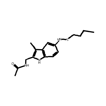 CCCCSNc1ccc2[nH]c(CNC(C)=O)c(C)c2c1